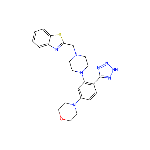 c1ccc2sc(CN3CCN(c4cc(N5CCOCC5)ccc4-c4nn[nH]n4)CC3)nc2c1